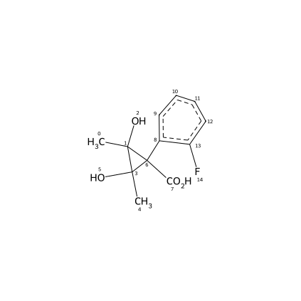 CC1(O)C(C)(O)C1(C(=O)O)c1ccccc1F